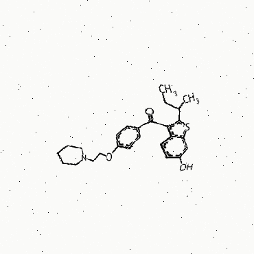 CCC(C)c1sc2cc(O)ccc2c1C(=O)c1ccc(OCCN2CCCCC2)cc1